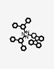 C1=C(c2nc(-c3cc(-c4ccccc4)cc(-c4ccccc4)c3)nc(-c3cc(-c4ccccc4)cc(-c4ccccc4)c3)n2)CCC2=C1C1(c3ccccc32)c2ccccc2-c2ccccc21